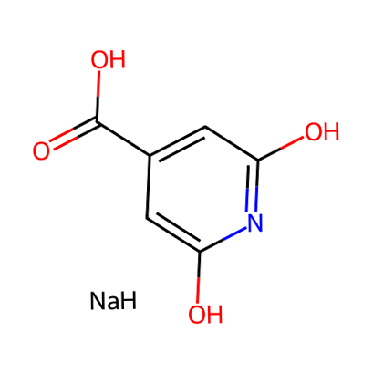 O=C(O)c1cc(O)nc(O)c1.[NaH]